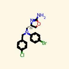 NC1=N[C@@H](CN(Cc2ccc(Cl)cc2)c2ccc(Br)cc2)CO1